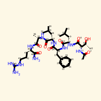 CC(=O)N[C@H](C(=O)N[C@@H](CC(C)C)C(=O)N[C@@H](Cc1ccccc1)C(=O)N[C@@H](CC(C)C)C(=O)N[C@@H](C)C(=O)N[C@@H](CCCNC(=N)N)C(N)=O)[C@@H](C)O